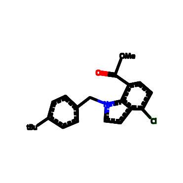 COC(=O)c1ccc(Cl)c2ccn(Cc3ccc(C(C)(C)C)cc3)c12